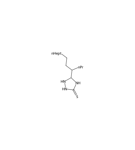 CCCCCCCCCC(CCC)C1NNC(=S)N1